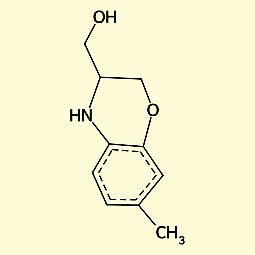 Cc1ccc2c(c1)OCC(CO)N2